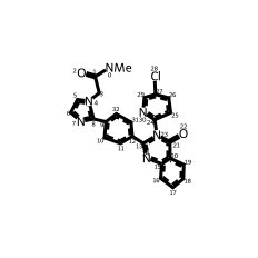 CNC(=O)Cn1ccnc1-c1ccc(-c2nc3ccccc3c(=O)n2-c2ccc(Cl)cn2)cc1